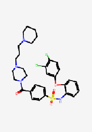 O=C(c1ccc(S(=O)(=O)Nc2ccccc2Oc2ccc(Cl)c(Cl)c2)cc1)N1CCN(CCCN2CCCCC2)CC1